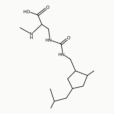 CNC(CNC(=O)NCC1CC(CC(C)C)CC1C)C(=O)O